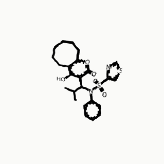 CC(C)C(c1c(O)c2c(oc1=O)CCCCCC2)N(c1ccccc1)S(=O)(=O)c1cscn1